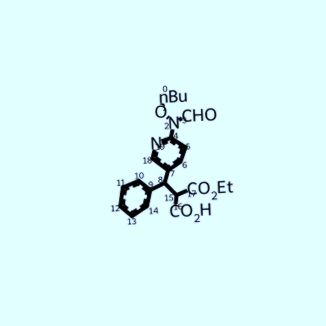 CCCCON(C=O)c1ccc(C(c2ccccc2)C(C(=O)O)C(=O)OCC)cn1